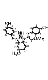 COC[C@H](Cc1ccc(C)cc1)n1c(=N)n(Cc2ccc(C)cc2)c2cc(C)ccc21